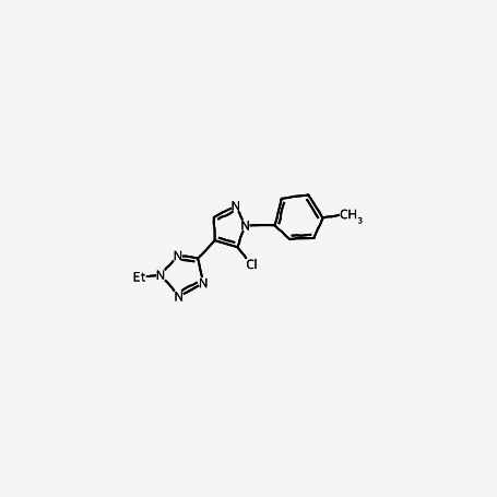 CCn1nnc(-c2cnn(-c3ccc(C)cc3)c2Cl)n1